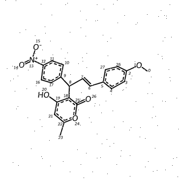 COc1ccc(/C=C/C(c2ccc([N+](=O)[O-])cc2)c2c(O)cc(C)oc2=O)cc1